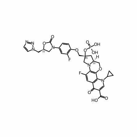 O=C(O)c1cn(C2CC2)c2c3c(c(F)cc2c1=O)N1C[C@](COc2ccc(N4C[C@@H](Cn5ccnn5)OC4=O)cc2F)(OP(=O)(O)O)C[C@H]1CO3